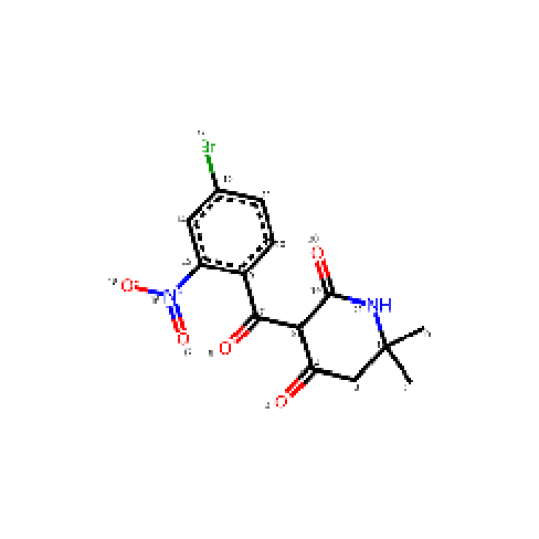 CC1(C)CC(=O)C(C(=O)c2ccc(Br)cc2[N+](=O)[O-])C(=O)N1